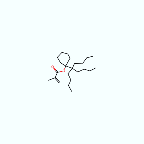 C=C(C)C(=O)OC1(C(CCCC)(CCCC)CCCC)CCCCC1